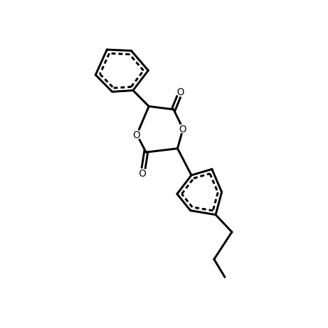 CCCc1ccc(C2OC(=O)C(c3ccccc3)OC2=O)cc1